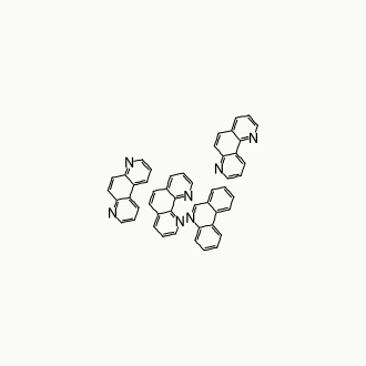 c1ccc2c(c1)cnc1ccccc12.c1cnc2c(c1)ccc1cccnc12.c1cnc2c(c1)ccc1ncccc12.c1cnc2ccc3ncccc3c2c1